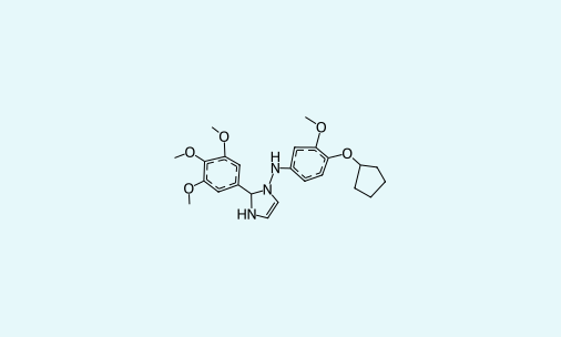 COc1cc(NN2C=CNC2c2cc(OC)c(OC)c(OC)c2)ccc1OC1CCCC1